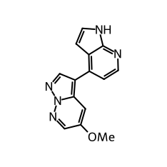 COc1cnn2ncc(-c3ccnc4[nH]ccc34)c2c1